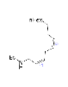 CCCCCCCC/C=C\C/C=C\CNCC